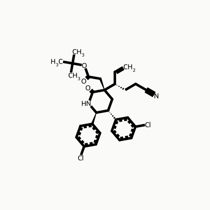 C=C[C@H](CCC#N)[C@]1(CC(=O)OC(C)(C)C)C[C@H](c2cccc(Cl)c2)[C@@H](c2ccc(Cl)cc2)NC1=O